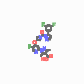 Cc1nn(-c2cc(OC3CN(C(=O)N4N=CCC4c4cc(F)cc(F)c4)C3)c(F)cn2)c(C)c1C(=O)O